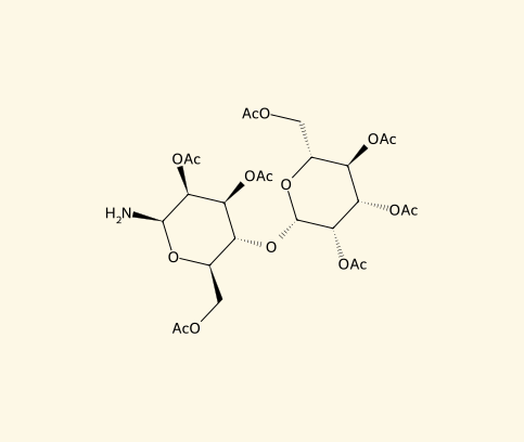 CC(=O)OC[C@H]1O[C@@H](O[C@H]2[C@H](OC(C)=O)[C@H](OC(C)=O)[C@H](N)O[C@@H]2COC(C)=O)[C@@H](OC(C)=O)[C@@H](OC(C)=O)[C@@H]1OC(C)=O